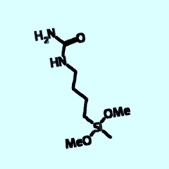 CO[Si](C)(CCCCNC(N)=O)OC